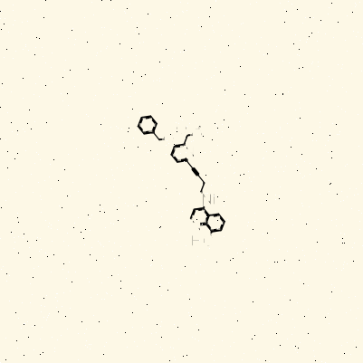 COC(=O)c1nc(C#CCCNc2ccnc3c(O)cccc23)ccc1OCc1ccccc1